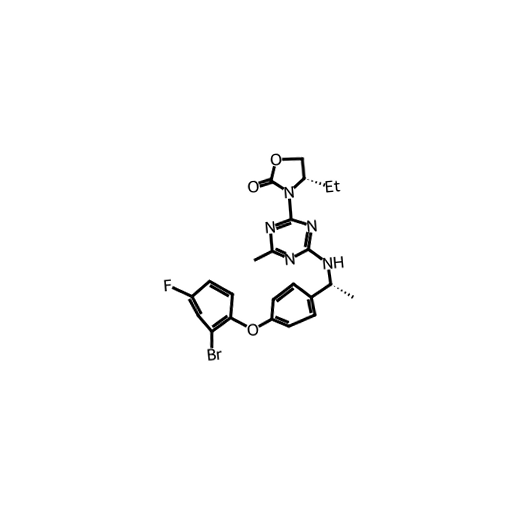 CC[C@H]1COC(=O)N1c1nc(C)nc(N[C@H](C)c2ccc(Oc3ccc(F)cc3Br)cc2)n1